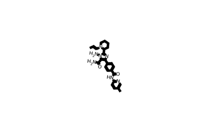 CC=CN1CCCCC1c1nc(-c2ccc(C(=O)Nc3ccc(C)cn3)cc2)c(C(N)=O)n1N